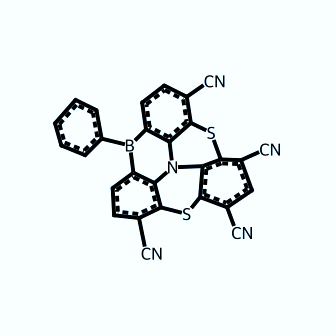 N#Cc1ccc2c3c1Sc1c(C#N)cc(C#N)c4c1N3c1c(ccc(C#N)c1S4)B2c1ccccc1